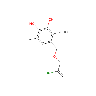 C=C(Br)COCc1cc(C)c(O)c(O)c1C=O